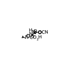 N#Cc1ccc(-c2cc(C(=O)N[C@H]3CCN(CC4CC4)C[C@@H]3C(=O)O)no2)cc1